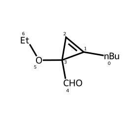 CCCCC1=CC1(C=O)OCC